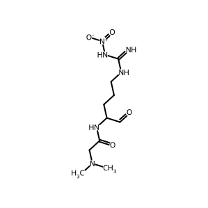 CN(C)CC(=O)NC(C=O)CCCNC(=N)N[N+](=O)[O-]